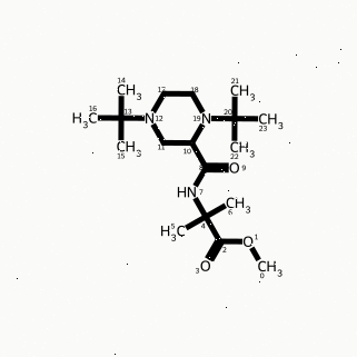 COC(=O)C(C)(C)NC(=O)C1CN(C(C)(C)C)CCN1C(C)(C)C